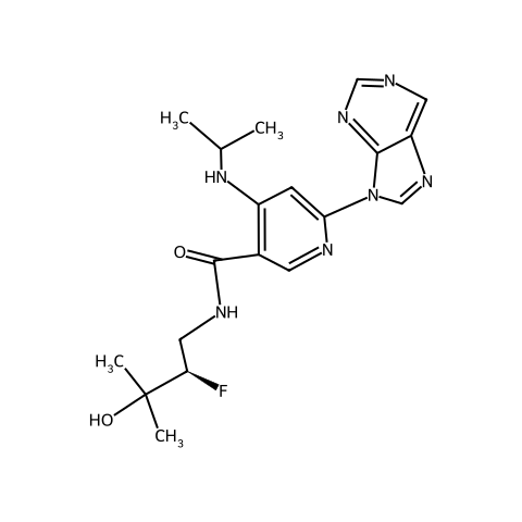 CC(C)Nc1cc(-n2cnc3cncnc32)ncc1C(=O)NC[C@@H](F)C(C)(C)O